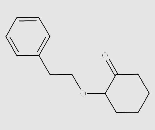 O=C1CCCCC1OCCc1ccccc1